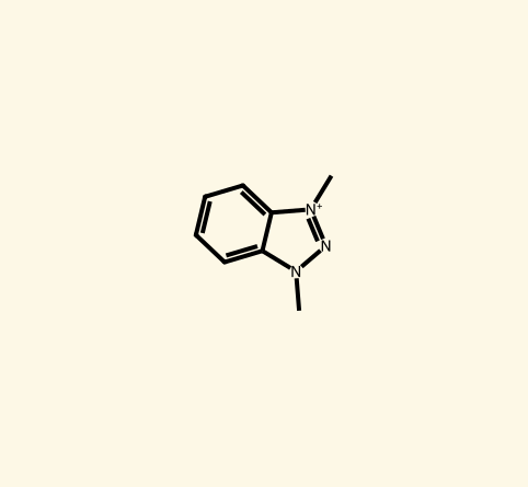 Cn1n[n+](C)c2ccccc21